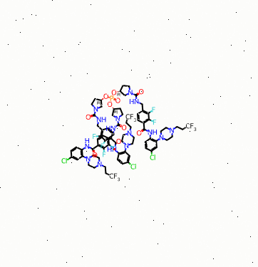 O=C(Nc1ccc(Cl)cc1N1CCN(CCC(F)(F)F)CC1)c1ccc(CNC(=O)N2CC[C@@H](OP(=O)(O[C@@H]3CCN(C(=O)NCc4ccc(C(=O)Nc5ccc(Cl)cc5N5CCN(CCC(F)(F)F)CC5)c(F)c4F)C3)O[C@@H]3CCN(C(=O)NCc4ccc(C(=O)Nc5ccc(Cl)cc5N5CCN(CCC(F)(F)F)CC5)c(F)c4F)C3)C2)c(F)c1F